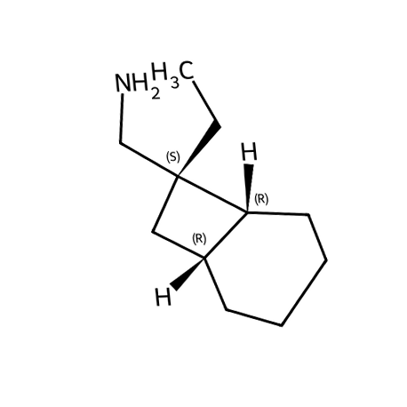 CC[C@]1(CN)C[C@H]2CCCC[C@H]21